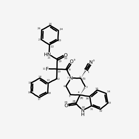 N#C[C@@H]1C[C@@]2(CCN1C(=O)C(F)(Cc1ccccc1)C(=O)Nc1ccccc1)C(=O)Nc1ccccc12